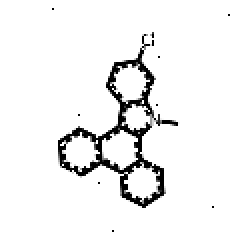 Cn1c2cc(Cl)ccc2c2c3ccccc3c3ccccc3c21